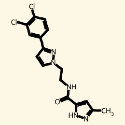 Cc1cc(C(=O)NCCn2ccc(-c3ccc(Cl)c(Cl)c3)n2)[nH]n1